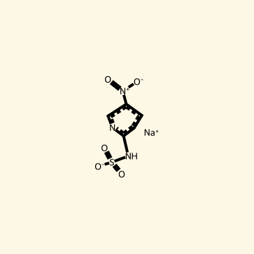 O=[N+]([O-])c1ccc(NS(=O)(=O)[O-])nc1.[Na+]